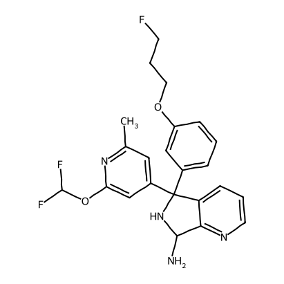 Cc1cc(C2(c3cccc(OCCCF)c3)NC(N)c3ncccc32)cc(OC(F)F)n1